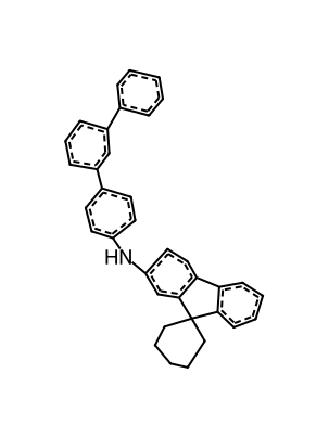 c1ccc(-c2cccc(-c3ccc(Nc4ccc5c(c4)C4(CCCCC4)c4ccccc4-5)cc3)c2)cc1